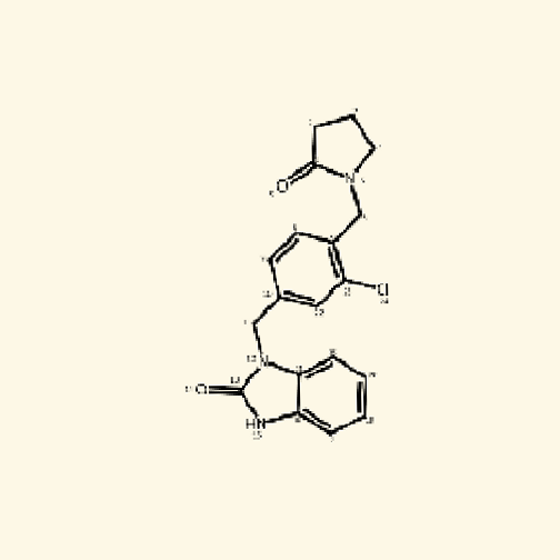 O=C1CCCN1Cc1ccc(Cn2c(=O)[nH]c3ccccc32)cc1Cl